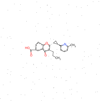 CCCc1c([C@@H]2C[C@H]2c2cccc(C)n2)oc2ccc(C(=O)O)cc2c1=O